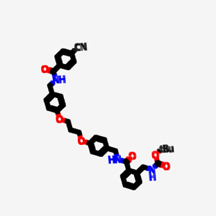 CC(C)(C)OC(=O)NCc1ccccc1C(=O)NCc1ccc(OCCCOc2ccc(CNC(=O)c3ccc(C#N)cc3)cc2)cc1